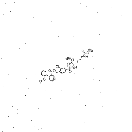 CC(C)(C)OC(=O)NCCCC[C@H](NS(=O)(=O)c1ccc(COC2(c3cnccc3-c3ccccc3OC3CC3)CC2)c(Cl)c1)C(=O)OC(C)(C)C